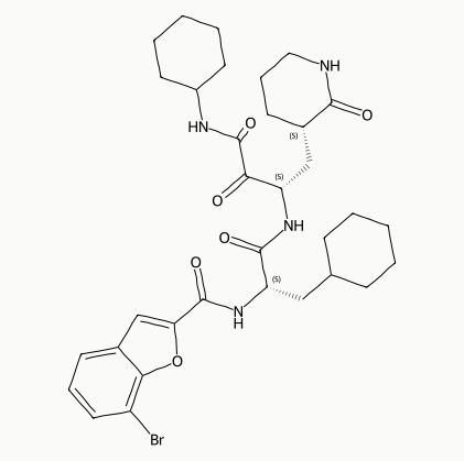 O=C(NC1CCCCC1)C(=O)[C@H](C[C@@H]1CCCNC1=O)NC(=O)[C@H](CC1CCCCC1)NC(=O)c1cc2cccc(Br)c2o1